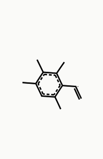 C=[C]c1c(C)cc(C)c(C)c1C